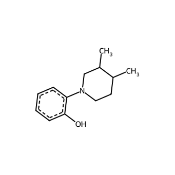 CC1CCN(c2ccccc2O)CC1C